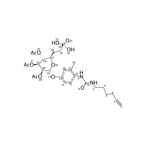 C#CCCCCNC(=O)Nc1ccc(O[C@H]2O[C@H](CCP(=O)(O)O)[C@@H](OC(C)=O)[C@H](OC(C)=O)[C@@H]2OC(C)=O)cc1C